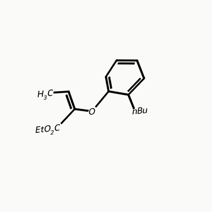 CC=C(Oc1ccccc1CCCC)C(=O)OCC